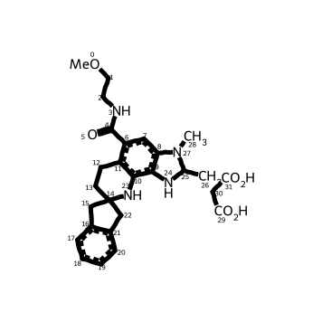 COCCNC(=O)c1cc2c(c3c1CCC1(Cc4ccccc4C1)N3)NC(C)N2C.O=C(O)CC(=O)O